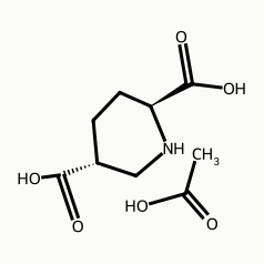 CC(=O)O.O=C(O)[C@@H]1CC[C@@H](C(=O)O)NC1